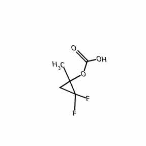 CC1(OC(=O)O)CC1(F)F